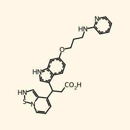 O=C(O)CC(C1=CC=CN2SNC=C12)c1c[nH]c2cc(OCCCNc3ccccn3)ccc12